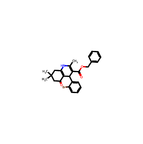 CC1=C(C(=O)OCc2ccccc2)C(c2ccccc2Br)C2=C(CC(C)(C)CC2=O)N1